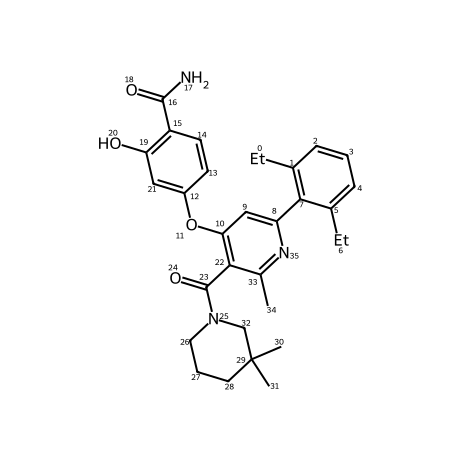 CCc1cccc(CC)c1-c1cc(Oc2ccc(C(N)=O)c(O)c2)c(C(=O)N2CCCC(C)(C)C2)c(C)n1